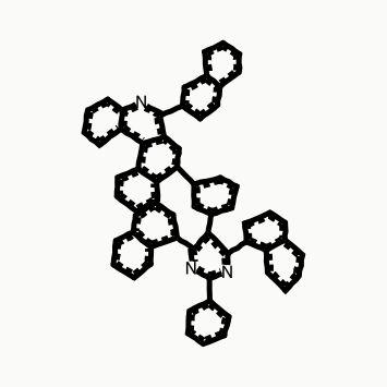 c1ccc(-c2nc(-c3cccc4ccccc34)c(-c3cccc(-c4cc5c(-c6ccc7ccccc7c6)nc6ccccc6c5c5ccccc45)c3)c(-c3cccc4ccccc34)n2)cc1